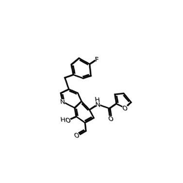 O=Cc1cc(NC(=O)c2ccco2)c2cc(Cc3ccc(F)cc3)cnc2c1O